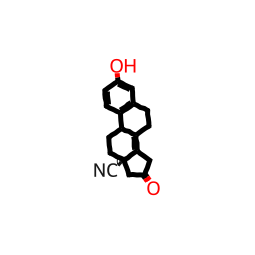 N#C[C@@]12CCC3C(=C1CC(=O)C2)CCc1cc(O)ccc13